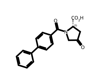 O=C1C[C@@H](C(=O)O)N(C(=O)c2ccc(-c3ccccc3)cc2)C1